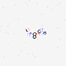 CC(C)N1CCC[C@H]1c1nnc2ccc(O[C@@H]3CC[C@H](NC(=O)Nc4cc(C(C)(C)C)on4)c4ccccc43)cn12